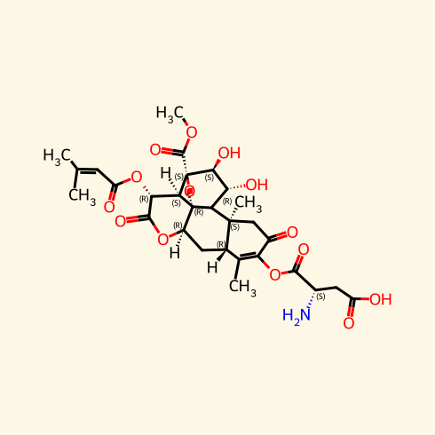 COC(=O)[C@@]12OC[C@]34C([C@@H](O)[C@@H]1O)[C@@]1(C)CC(=O)C(OC(=O)[C@@H](N)CC(=O)O)=C(C)[C@@H]1C[C@H]3OC(=O)[C@H](OC(=O)C=C(C)C)[C@@H]24